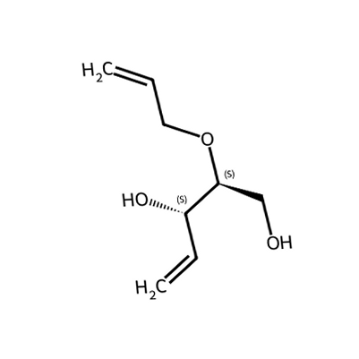 C=CCO[C@@H](CO)[C@@H](O)C=C